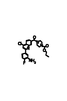 CCCOC(=O)N1CCN(C(=O)c2ccc3c(Cl)cc(-c4ccc(F)c(N)c4)nc3c2)CC1